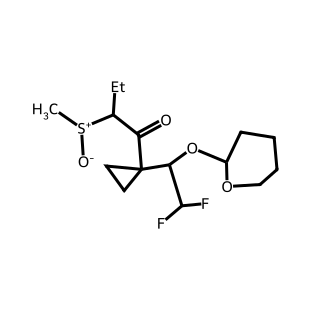 CCC(C(=O)C1(C(OC2CCCCO2)C(F)F)CC1)[S+](C)[O-]